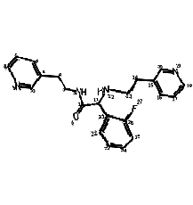 O=C(NCCc1cccnc1)C(NCCc1cccnc1)c1ccccc1F